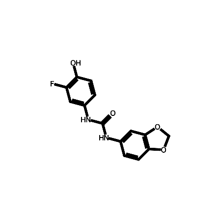 O=C(Nc1ccc(O)c(F)c1)Nc1ccc2c(c1)OCO2